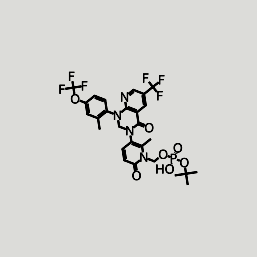 Cc1cc(OC(F)(F)F)ccc1N1CN(c2ccc(=O)n(COP(=O)(O)OC(C)(C)C)c2C)C(=O)c2cc(C(F)(F)F)cnc21